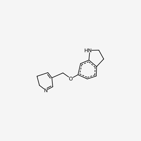 C1=NCCC=C1COc1ccc2c(c1)NCC2